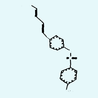 CCOC(=O)C=CC=Cc1ccc(NS(=O)(=O)c2ccc(OC)cc2)cc1